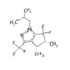 CC(C)Cn1nc(C(F)(F)F)c2c1C(F)(F)[C@H](C)[C@@H]2C